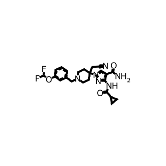 N#CCC1(n2cc(C(N)=O)c(NC(=O)C3CC3)n2)CCN(Cc2cccc(OC(F)F)c2)CC1